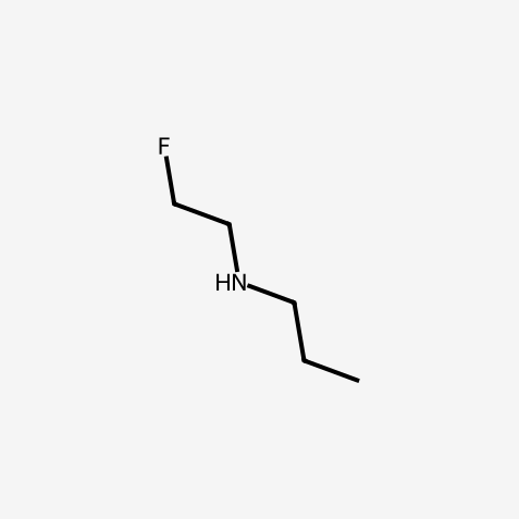 CCCNCCF